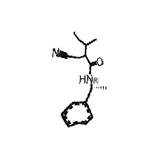 CC(C)C(C#N)C(=O)N[C@H](C)c1ccccc1